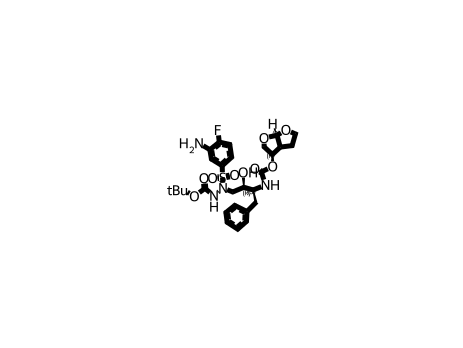 CC(C)(C)OC(=O)NN(C[C@@H](O)[C@H](Cc1ccccc1)NC(=O)O[C@H]1CO[C@H]2OCCC21)S(=O)(=O)c1ccc(F)c(N)c1